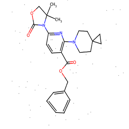 CC1(C)COC(=O)N1c1ccc(C(=O)OCc2ccccc2)c(N2CCC3(CC2)CC3)n1